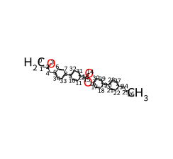 C=CC(=O)Cc1ccc(-c2ccc(C(=O)Oc3ccc(-c4ccc(CCC)cc4)cc3)cc2)cc1